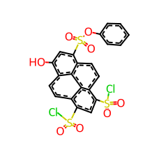 O=S(=O)(Cl)c1cc(S(=O)(=O)Cl)c2ccc3c(S(=O)(=O)Oc4ccccc4)cc(O)c4ccc1c2c43